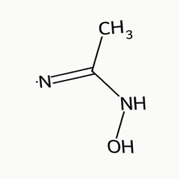 CC(=[N])NO